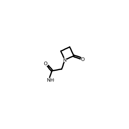 [NH]C(=O)CN1CCC1=O